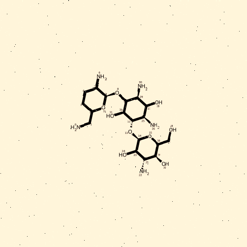 NCC1CCC(N)[C@@H](OC2C(O)[C@@H](O[C@H]3OC(CO)[C@@H](O)[C@H](N)C3O)[C@H](N)C(O)[C@@H]2N)O1